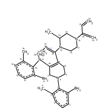 Bc1cccc(C)c1N1CCC(/C(=N\C)N2CCN(C(=C)C=C)CC2C)=C(N(C=O)c2c(B)ccnc2C)C1